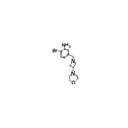 Nc1cc(CN2CC(N3CCOCC3)C2)ccc1Br